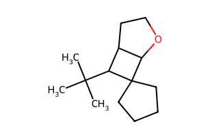 CC(C)(C)C1C2CCOC2C12CCCC2